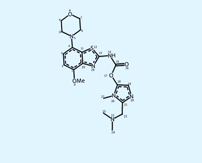 COc1ccc(N2CCOCC2)c2sc(NC(=O)Oc3cnc(CN(C)C)n3C)nc12